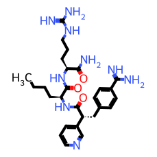 CCCC[C@H](NC(=O)[C@H](Cc1ccc(C(=N)N)cc1)c1cccnc1)C(=O)N[C@@H](CCCNC(=N)N)C(N)=O